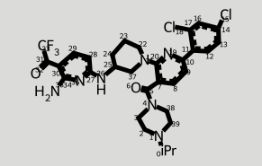 CC(C)N1CCN(C(=O)c2ccc(-c3ccc(Cl)cc3Cl)nc2N2CCCC(Nc3ccc(C(=O)C(F)(F)F)c(N)n3)C2)CC1